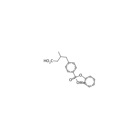 COP(=O)(Oc1ccccc1)c1ccc(CC(C)CC(=O)O)cc1